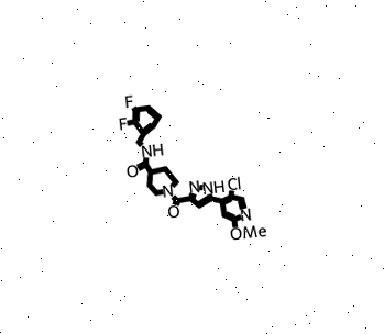 COc1cc(-c2cc(C(=O)N3CCC(C(=O)NCc4cccc(F)c4F)CC3)n[nH]2)c(Cl)cn1